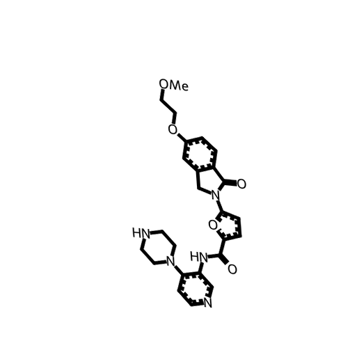 COCCOc1ccc2c(c1)CN(c1ccc(C(=O)Nc3cnccc3N3CCNCC3)o1)C2=O